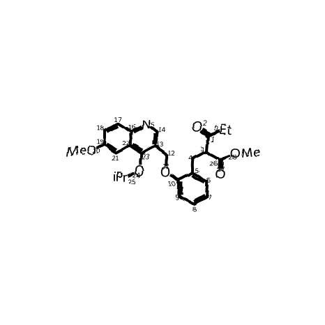 CCC(=O)C(Cc1ccccc1OCc1cnc2ccc(OC)cc2c1OC(C)C)C(=O)OC